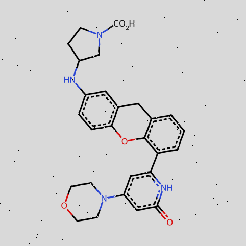 O=C(O)N1CCC(Nc2ccc3c(c2)Cc2cccc(-c4cc(N5CCOCC5)cc(=O)[nH]4)c2O3)C1